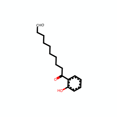 O=CCCCCCCCCC(=O)c1ccccc1O